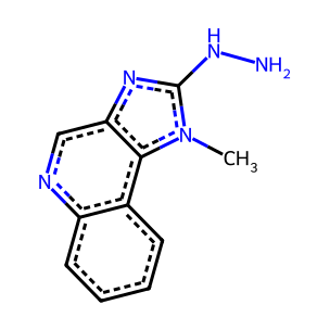 Cn1c(NN)nc2cnc3ccccc3c21